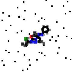 CCC(C)(N=NC1CCCCC1)NC(=O)NC(C)Cl